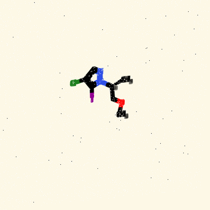 COC[C@@H](C)n1ncc(Cl)c1I